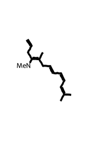 C=CC/C(NC)=C(\C)C/C=C/C=C\C=C(C)C